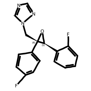 Fc1ccc([C@]2(Cn3[c]ncn3)O[C@H]2c2ccccc2F)cc1